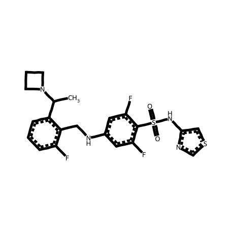 CC(c1cccc(F)c1CNc1cc(F)c(S(=O)(=O)Nc2cscn2)c(F)c1)N1CCC1